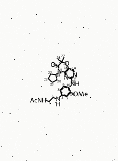 COc1cc(NCCNC(C)=O)ccc1Nc1ncc2c(n1)N(C1CCCC1)C(=O)C(C)(C)O2